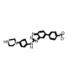 O=[N+]([O-])c1ccc(-c2ccc3nnc(Nc4ccc(N5CCNCC5)cc4)nc3c2)cc1